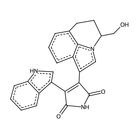 O=C1NC(=O)C(c2cn3c4c(cccc24)CCC3CO)=C1c1c[nH]c2ccccc12